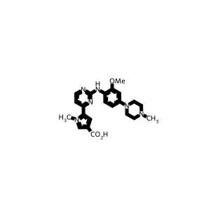 COc1cc(N2CCN(C)CC2)ccc1Nc1nccc(-c2cc(C(=O)O)cn2C)n1